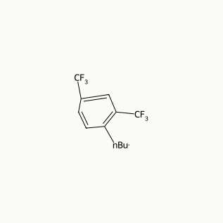 CCC[CH]c1ccc(C(F)(F)F)cc1C(F)(F)F